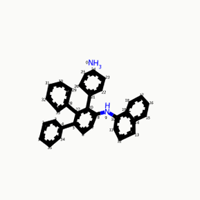 N.c1ccc(-c2ccc(Nc3cccc4ccccc34)c(-c3ccccc3)c2-c2ccccc2)cc1